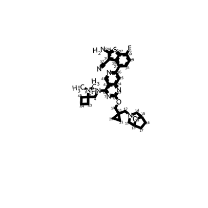 CN(C)C1(CNc2nc(OCC3(CN4CC5CCC(C4)O5)CC3)nc3cc(-c4ccc(F)c5sc(N)c(C#N)c45)ncc23)CCC1